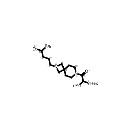 CCCCCCC(CCC)C(=O)N1CCC2(CC1)CN(CCCC(CC)CCCC)C2